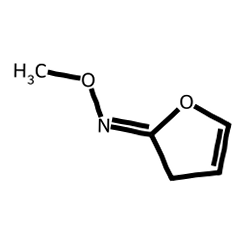 CON=C1CC=CO1